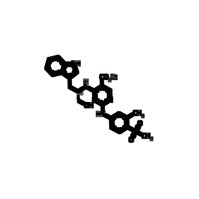 CCOC(=O)c1cnc(Nc2ccc(S(C)(=O)=O)c(C)c2)nc1N[C@H](CO)Cc1c[nH]c2ccccc12